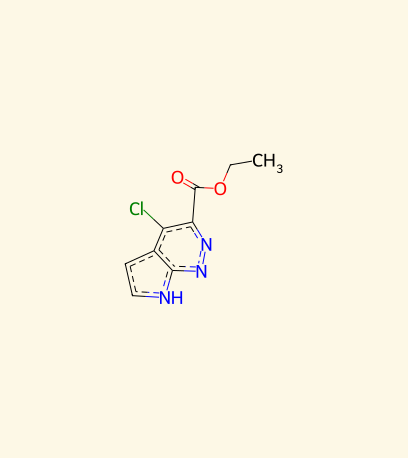 CCOC(=O)c1nnc2[nH]ccc2c1Cl